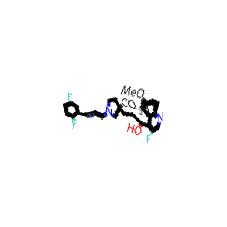 COc1ccc2ncc(F)c(C(O)CCC3(C(=O)O)CCN(C/C=C/c4cc(F)ccc4F)C3)c2c1